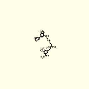 C[C@@H](CCCOCCNc1cc(-c2cnoc2)cc2[nH]ncc12)NCc1cc(OC(F)(F)F)cc(C(N)=O)c1